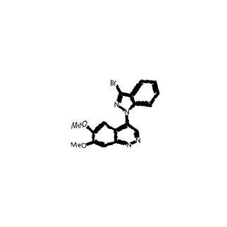 COc1cc2nncc(-n3nc(Br)c4ccccc43)c2cc1OC